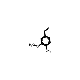 COc1cc(CI)ccc1C